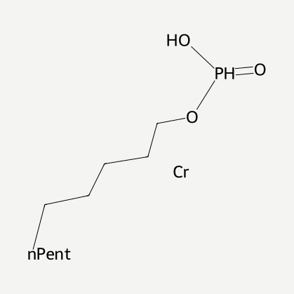 CCCCCCCCCCO[PH](=O)O.[Cr]